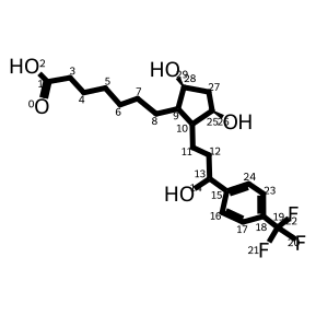 O=C(O)CCCCCCC1C(CCC(O)c2ccc(C(F)(F)F)cc2)[C@H](O)C[C@@H]1O